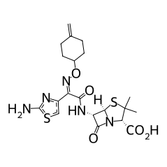 C=C1CCC(O/N=C(\C(=O)N[C@H]2C(=O)N3[C@@H]2SC(C)(C)[C@@H]3C(=O)O)c2csc(N)n2)CC1